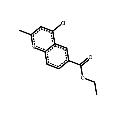 CCOC(=O)c1ccc2nc(C)cc(Cl)c2c1